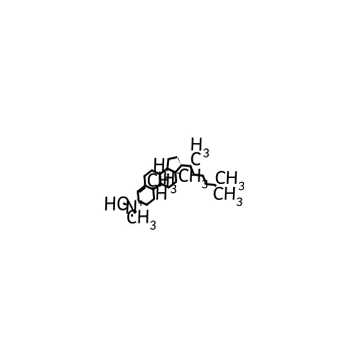 CC(C)CCC[C@@H](C)[C@H]1CC[C@H]2[C@@H]3CCC4=C/C(=[N+](/C)O)CC[C@]4(C)[C@H]3CC[C@]12C